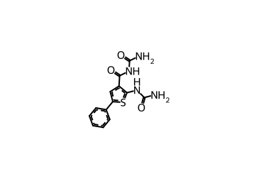 NC(=O)NC(=O)c1cc(-c2ccccc2)sc1NC(N)=O